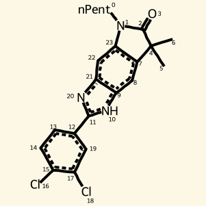 CCCCCN1C(=O)C(C)(C)c2cc3[nH]c(-c4ccc(Cl)c(Cl)c4)nc3cc21